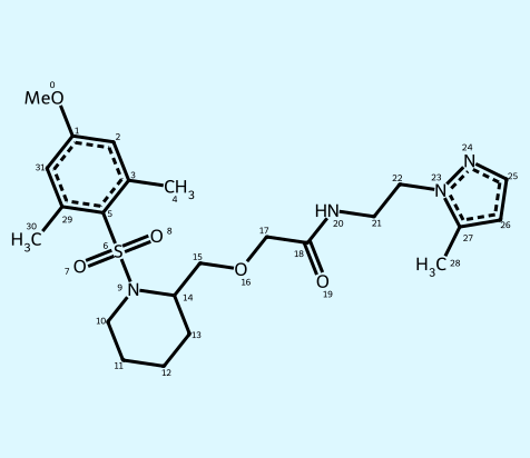 COc1cc(C)c(S(=O)(=O)N2CCCCC2COCC(=O)NCCn2nccc2C)c(C)c1